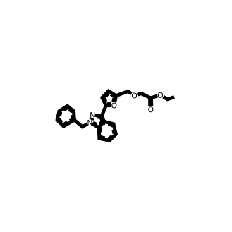 CCOC(=O)COCc1ccc(-c2nn(Cc3ccccc3)c3ccccc23)o1